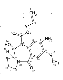 C=CCOC(=O)N1c2cc(N)c(OC)cc2C(=O)N2CCC[C@H]2[C@@H]1O